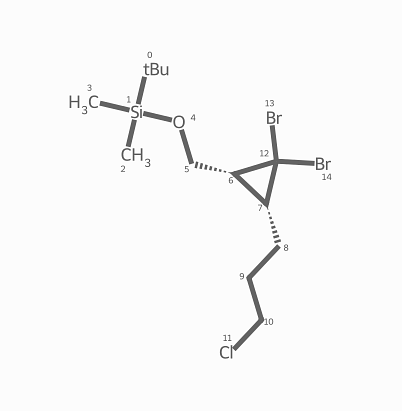 CC(C)(C)[Si](C)(C)OC[C@H]1[C@@H](CCCCl)C1(Br)Br